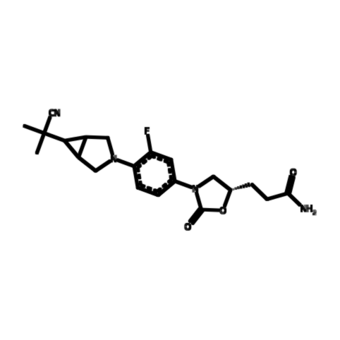 CC(C)(C#N)C1C2CN(c3ccc(N4C[C@H](CCC(N)=O)OC4=O)cc3F)CC21